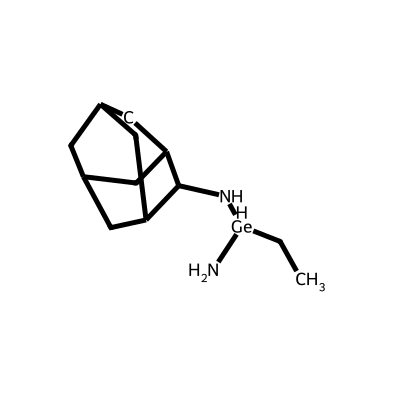 C[CH2][GeH]([NH2])[NH]C1C2CC3CC(C2)CC1C3